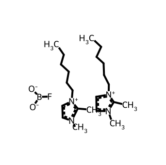 CCCCCC[n+]1ccn(C)c1C.CCCCCC[n+]1ccn(C)c1C.[O-]B([O-])F